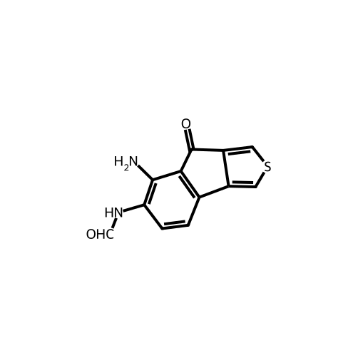 Nc1c(NC=O)ccc2c1C(=O)c1cscc1-2